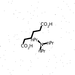 CCCN(CCC)CCC.O=C(O)CCCCC(=O)O